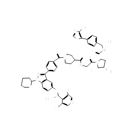 Cc1ncsc1-c1ccc([C@H](C)NC(=O)[C@@H]2C[C@@H](O)CN2C(=O)[C@@H](NC(=O)C2CCN(C(=O)c3ccc(-c4nn(C5CCCCO5)c5ccc(O[C@H](C)c6c(Cl)cncc6Cl)cc45)cc3)CC2)C(C)(C)C)cc1